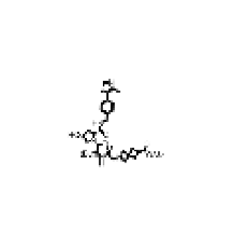 COC(=O)C1CC2(C1)CN(CC(=O)N[C@H](C(=O)N1C[C@H](O)C[C@H]1C(=O)NCc1ccc(-c3scnc3C)cc1)C(C)(C)C)C2